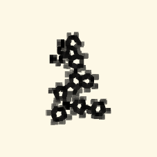 CC1(C)c2ccccc2-c2ccc(-c3cc4c(c5ccccc35)Cc3c-4cccc3N(c3ccccc3)c3ccc(-c4ccccc4)cc3)cc21